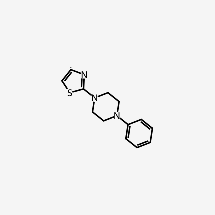 [c]1csc(N2CCN(c3ccccc3)CC2)n1